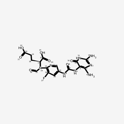 Nc1nc(N)c(NC(=O)Nc2cnc(N(C=O)[C@@H](CCC(=O)O)C(=O)O)c(F)c2)c(=O)[nH]1